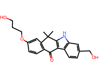 CC1(C)c2cc(OCCCO)ccc2C(=O)c2c1[nH]c1cc(CO)ccc21